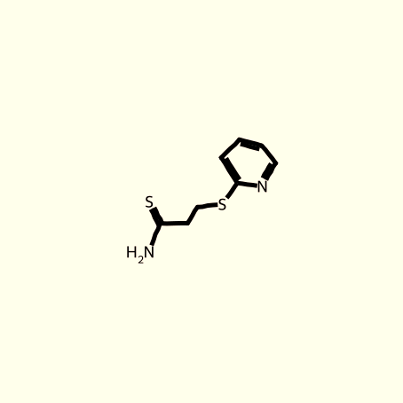 NC(=S)CCSc1ccccn1